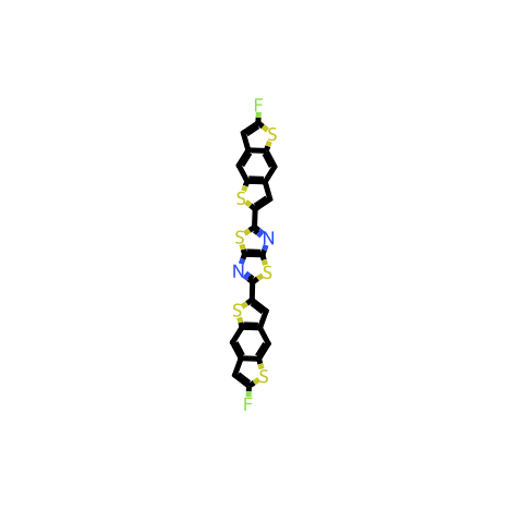 Fc1cc2cc3sc(-c4nc5sc(-c6cc7cc8sc(F)cc8cc7s6)nc5s4)cc3cc2s1